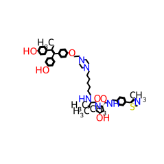 CCC(=C(c1ccc(O)cc1)c1ccc(OCCN2CCN(CCCCCCCNC(C(=O)N3C[C@H](O)C[C@H]3C(=O)NCc3ccc(-c4scnc4C)cc3)C(C)(C)C)CC2)cc1)c1ccc(O)cc1